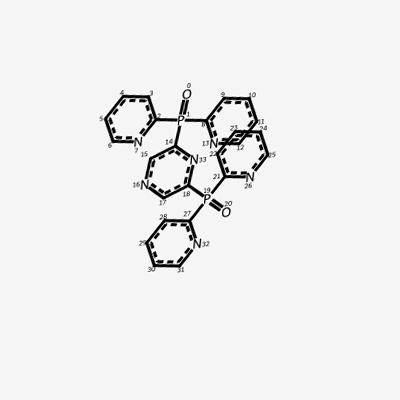 O=P(c1ccccn1)(c1ccccn1)c1cncc(P(=O)(c2ccccn2)c2ccccn2)n1